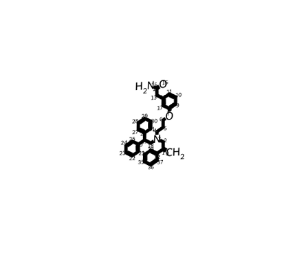 C=C(CN(CCCOc1cccc(CC(N)=O)c1)CC(c1ccccc1)c1ccccc1)c1ccccc1